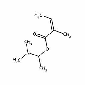 CC=C(C)C(=O)OC(C)N(C)C